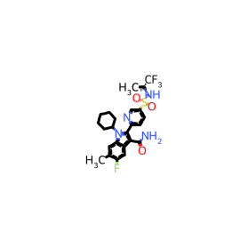 Cc1cc2c(cc1F)c(C(N)=O)c(-c1ccc(S(=O)(=O)N[C@H](C)C(F)(F)F)cn1)n2C1CCCCC1